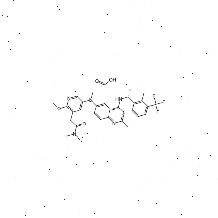 COc1ncc(N(C)c2ccc3nc(C)nc(N[C@H](C)c4cccc(C(F)(F)F)c4C)c3c2)cc1CC(=O)N(C)C.O=CO